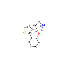 c1cc2c(s1)C1CCCCC1OC21CCNC1